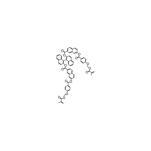 C=C(C)C(=O)OCOc1ccc(C(=O)Oc2ccc3ccc(C(=O)Oc4ccc5ccccc5c4-c4c(OC(=O)c5ccc6ccc(OC(=O)c7ccc(OCOC(=O)C(=C)C)cc7)cc6c5)ccc5ccccc45)cc3c2)cc1